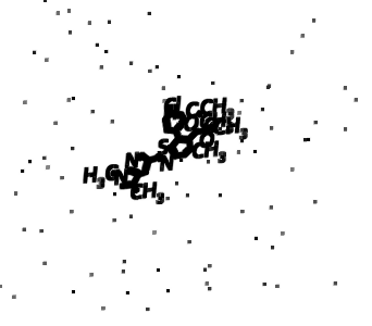 COC(=O)C(OC(C)(C)C)c1c(C)cc2nc(-c3cnc4c(c3)c(C)cn4C)sc2c1-c1ccc(Cl)cc1